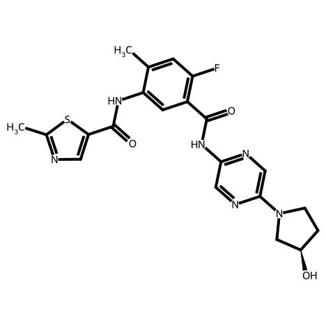 Cc1ncc(C(=O)Nc2cc(C(=O)Nc3cnc(N4CC[C@@H](O)C4)cn3)c(F)cc2C)s1